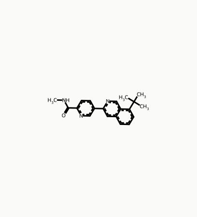 CNC(=O)c1ccc(-c2cc3cccc(C(C)(C)C)c3cn2)cn1